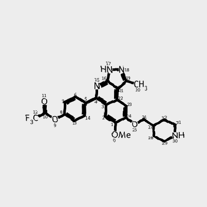 COc1cc2c(-c3ccc(OC(=O)C(F)(F)F)cc3)nc3[nH]nc(C)c3c2cc1OCC1CCNCC1